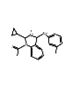 CC(=O)N1c2ccccc2C(Nc2cc(C)ccn2)[C@@H](C)C1C1CC1